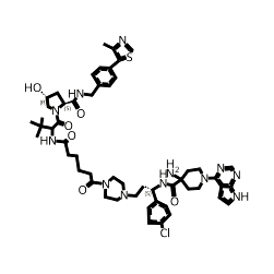 Cc1ncsc1-c1ccc(CNC(=O)[C@@H]2C[C@@H](O)CN2C(=O)C(NC(=O)CCCCC(=O)N2CCN(CC[C@H](NC(=O)C3(N)CCN(c4ncnc5[nH]ccc45)CC3)c3ccc(Cl)cc3)CC2)C(C)(C)C)cc1